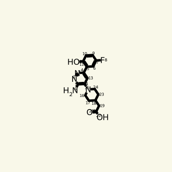 Nc1nnc(-c2cc(F)ccc2O)cc1N1CCC(CC(=O)O)CC1